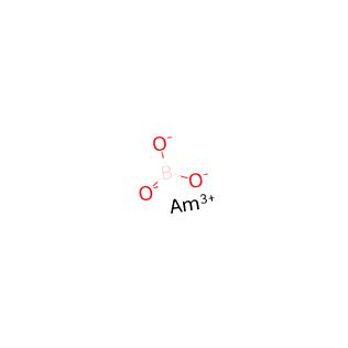 [Am+3].[O-]B([O-])[O-]